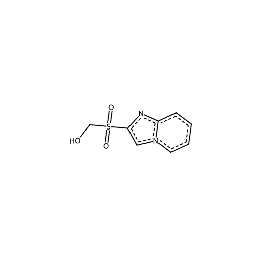 O=S(=O)(CO)c1cn2ccccc2n1